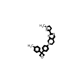 Cc1ccc(C2(c3ccc(N4CCc5cnc(C6=NN(C)CC6)nc5C4)cc3)COC2)cc1